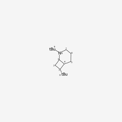 CC(C)(C)C1CC2C1CCCN2C(C)(C)C